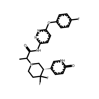 CC(C(=O)Nc1ccc(Oc2ccc(F)cc2)nn1)N1CCC(F)(F)[C@@H](c2ccc(=O)[nH]c2)C1